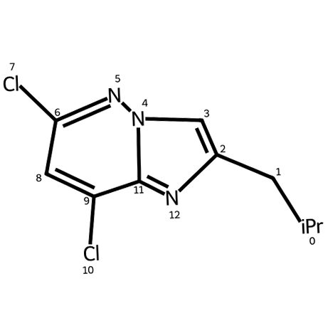 CC(C)Cc1cn2nc(Cl)cc(Cl)c2n1